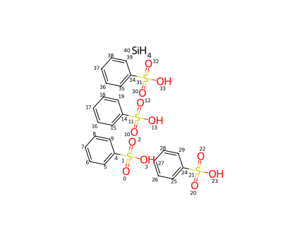 O=S(=O)(O)c1ccccc1.O=S(=O)(O)c1ccccc1.O=S(=O)(O)c1ccccc1.O=S(=O)(O)c1ccccc1.[SiH4]